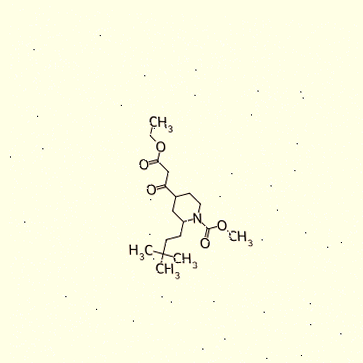 CCOC(=O)CC(=O)C1CCN(C(=O)OC)C(CCC(C)(C)C)C1